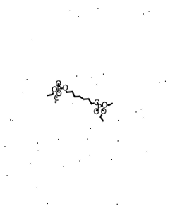 CCOP(=O)(OCC)OCCCCCCCOP(=O)(OCC)OCC